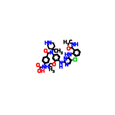 CNC(=O)c1ccccc1Nc1nc(Nc2ccc(N(C(=O)c3ccc(NC(=O)O)cc3)C3(C)CCNCC3)cc2OC)ncc1Cl